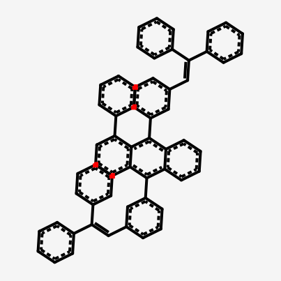 C(=C(c1ccccc1)c1ccccc1)c1cccc(-c2c3ccccc3c(-c3cccc(C=C(c4ccccc4)c4ccccc4)c3)c3c(-c4ccccc4)cccc23)c1